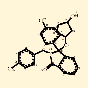 O=C1c2ccccc2C(OC2CCC(O)C2)(c2ccc(Cl)cc2)N1Cc1ccc(Cl)cc1